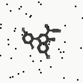 COC(=O)c1cn(-c2cc(F)ccc2F)c2ccc(Cl)cc2c1=O